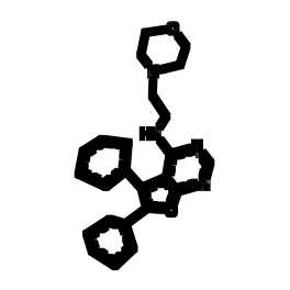 c1ccc(-c2oc3ncnc(NCCN4CCOCC4)c3c2-c2ccccc2)cc1